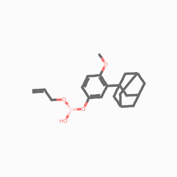 C=CCOB(O)Oc1ccc(OC)c(C23CC4CC(CC(C4)C2)C3)c1